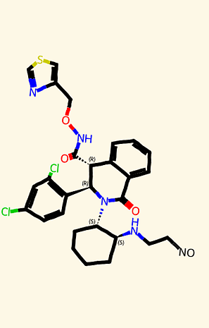 O=NCCN[C@H]1CCCC[C@@H]1N1C(=O)c2ccccc2[C@@H](C(=O)NOCc2cscn2)[C@@H]1c1ccc(Cl)cc1Cl